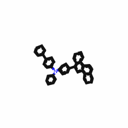 c1ccc(-c2ccc(N(c3ccccc3)c3ccc(-c4cc5c6ccccc6ccc5c5ccccc45)cc3)cc2)cc1